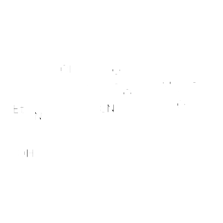 C=C(C)C(=O)OCCOC(=O)/C(C#N)=C/c1ccc(N(CC)CCO)cc1O